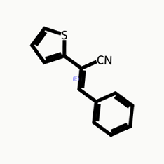 N#C/C(=C\c1ccccc1)c1cccs1